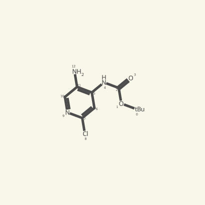 CC(C)(C)OC(=O)Nc1cc(Cl)ncc1N